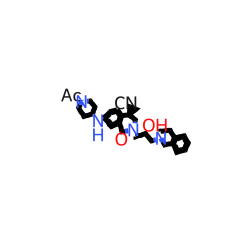 CC(=O)N1CCC(Nc2cc(C#N)c3c(c2)C(=O)N(C[C@H](O)CN2CCc4ccccc4C2)CC32CC2)CC1